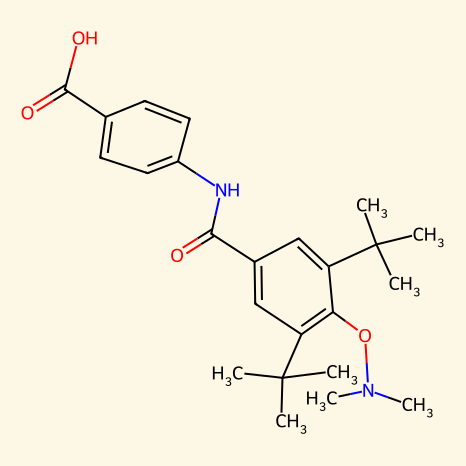 CN(C)Oc1c(C(C)(C)C)cc(C(=O)Nc2ccc(C(=O)O)cc2)cc1C(C)(C)C